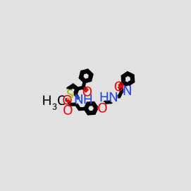 COC(=O)C(Cc1ccc(OCCNCc2nc3ccccc3o2)cc1)Nc1sccc1C(=O)c1ccccc1